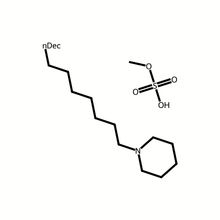 CCCCCCCCCCCCCCCCCN1CCCCC1.COS(=O)(=O)O